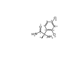 C[C@@](N)(C(N)=O)c1ccc(Cl)nc1Cl